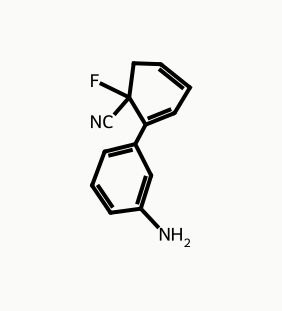 N#CC1(F)CC=CC=C1c1cccc(N)c1